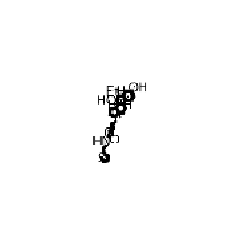 CC[C@H]1[C@@H](O)[C@@H]2[C@H](CC[C@]3(C)[C@@H](CCCOC(=O)NCCc4cccs4)CC[C@@H]23)[C@@]2(C)CC[C@@H](O)C[C@@H]12